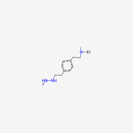 CCN(C)CCc1ccc(CCNNI)cc1